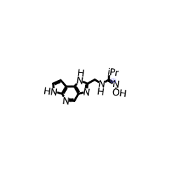 CC(C)/C(=N/O)NCc1nc2cnc3[nH]ccc3c2[nH]1